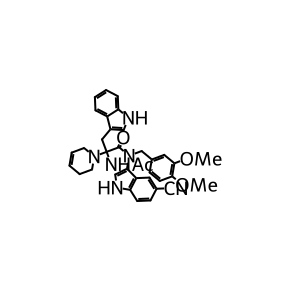 COc1ccc(CN(C(=O)C(Cc2c[nH]c3ccccc23)(NC(C)=O)N2CC=CCC2)c2c[nH]c3ccc(C#N)cc23)cc1OC